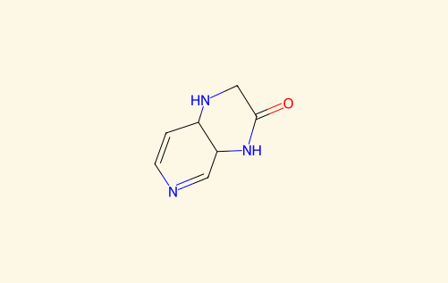 O=C1CNC2C=CN=CC2N1